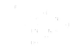 O=C(O)NC(Cc1cc(F)cc(F)c1)c1ncc(Cl)nc1Cl